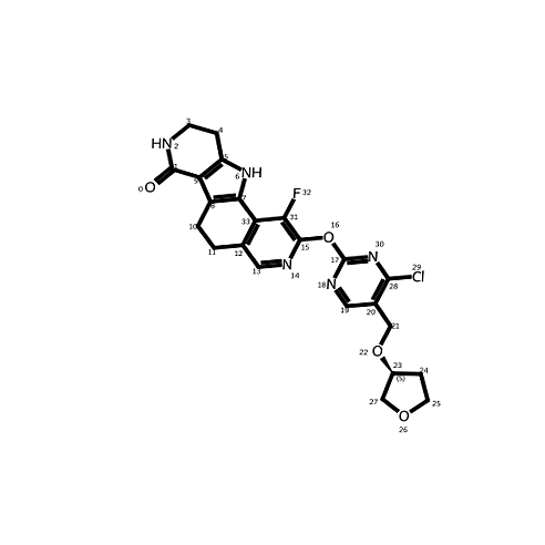 O=C1NCCc2[nH]c3c(c21)CCc1cnc(Oc2ncc(CO[C@H]4CCOC4)c(Cl)n2)c(F)c1-3